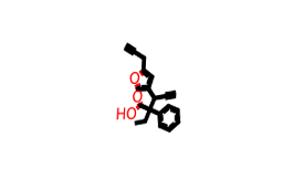 C#CCc1cc(C(C#C)C(CC)(C(=O)O)c2ccccc2)co1